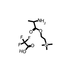 CC(N)C(=O)OCC[Si](C)(C)C.O=C(O)C(F)(F)F